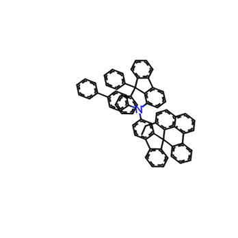 CCc1ccc2cccc3c2c1C1(c2ccccc2-c2ccc(N(c4ccc(-c5ccccc5)cc4)c4cccc5c4C(c4ccccc4)(c4ccccc4)c4ccccc4-5)cc21)c1ccccc1-3